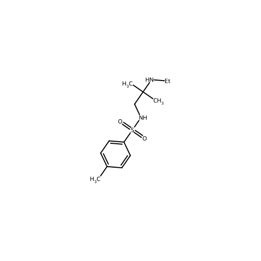 CCNC(C)(C)CNS(=O)(=O)c1ccc(C)cc1